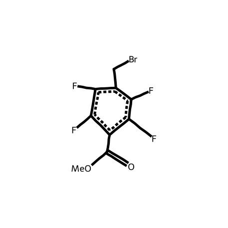 COC(=O)c1c(F)c(F)c(CBr)c(F)c1F